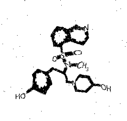 CN(C(Cc1ccc(O)cc1)CN1CCC(O)CC1)S(=O)(=O)c1cccc2cnccc12